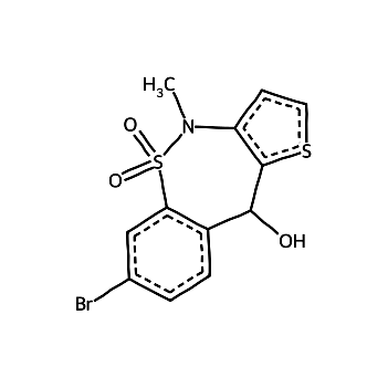 CN1c2ccsc2C(O)c2ccc(Br)cc2S1(=O)=O